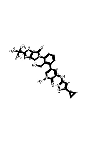 Cn1cc(-c2cccc(N3Cc4nc(C(C)(C)C)sc4C3=O)c2CO)cc(Nc2cc(C3CC3)[nH]n2)c1=O